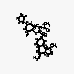 CC(=O)N(C)N(Cc1ccc(-c2cnsc2)cc1F)C(=O)c1ccc2nc(N)c3cnn(C)c3c2c1